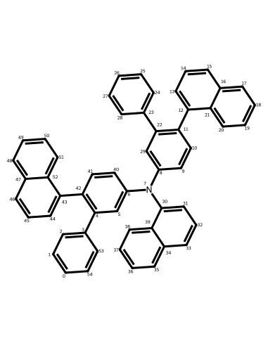 c1ccc(-c2cc(N(c3ccc(-c4cccc5ccccc45)c(-c4ccccc4)c3)c3cccc4ccccc34)ccc2-c2cccc3ccccc23)cc1